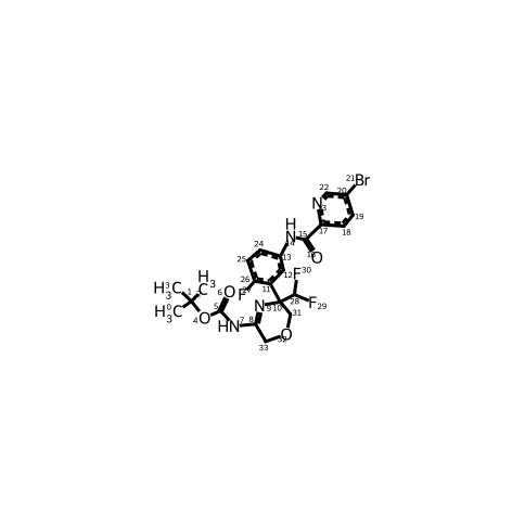 CC(C)(C)OC(=O)NC1=NC(c2cc(NC(=O)c3ccc(Br)cn3)ccc2F)(C(F)F)COC1